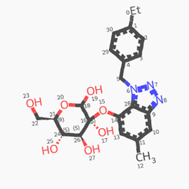 CCc1ccc(Cn2nnc3cc(C)cc(O[C@]4(O)C(O)O[C@H](CO)[C@@H](O)[C@@H]4O)c32)cc1